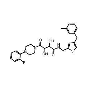 Cc1cccc(Cc2csc(CNC(=O)[C@H](O)[C@@H](O)C(=O)N3CCN(c4ccccc4F)CC3)c2)c1